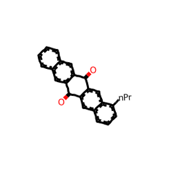 CCCc1cccc2cc3c(cc12)C(=O)c1cc2ccccc2cc1C3=O